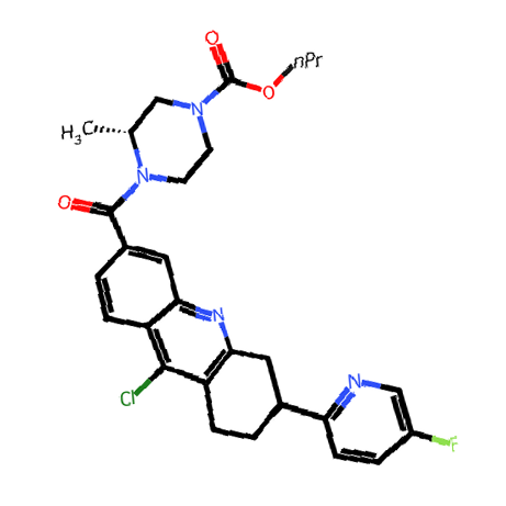 CCCOC(=O)N1CCN(C(=O)c2ccc3c(Cl)c4c(nc3c2)CC(c2ccc(F)cn2)CC4)[C@H](C)C1